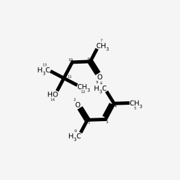 CC(=O)C=C(C)C.CC(=O)CC(C)(C)O